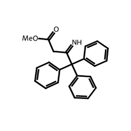 COC(=O)CC(=N)C(c1ccccc1)(c1ccccc1)c1ccccc1